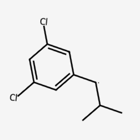 CC(C)[CH]c1cc(Cl)cc(Cl)c1